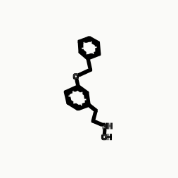 ONCCc1cccc(OCc2ccccc2)c1